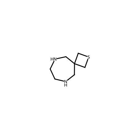 C1CNCC2(CN1)CSC2